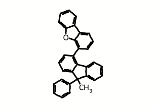 CC1(c2ccccc2)c2ccccc2-c2c(-c3cccc4c3oc3ccccc34)cccc21